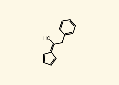 OC(Cc1ccccc1)=C1C=CC=C1